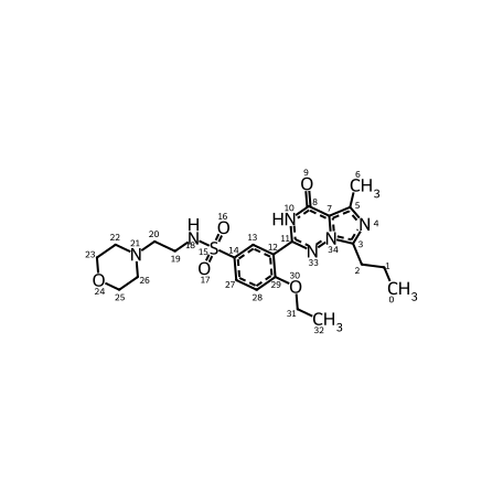 CCCc1nc(C)c2c(=O)[nH]c(-c3cc(S(=O)(=O)NCCN4CCOCC4)ccc3OCC)nn12